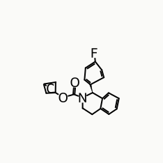 O=C(OC12CC(C1)C2)N1CCc2ccccc2[C@@H]1c1ccc(F)cc1